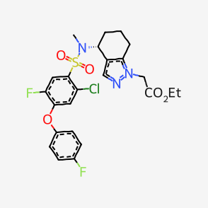 CCOC(=O)Cn1ncc2c1CCC[C@H]2N(C)S(=O)(=O)c1cc(F)c(Oc2ccc(F)cc2)cc1Cl